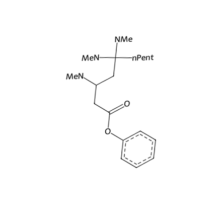 CCCCCC(CC(CC(=O)Oc1ccccc1)NC)(NC)NC